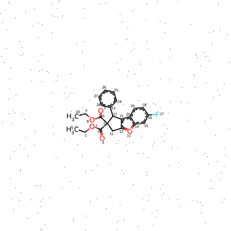 CCOC(=O)C1(C(=O)OCC)Cc2oc3cc(F)ccc3c2C1c1ccccc1